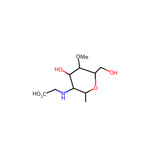 COC1C(CO)OC(C)C(NCC(=O)O)C1O